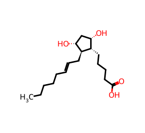 CCCCCC=CC[C@@H]1[C@@H](CCCCC(=O)O)[C@@H](O)C[C@H]1O